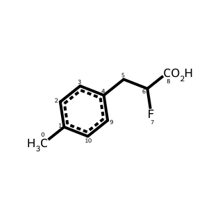 Cc1ccc(CC(F)C(=O)O)cc1